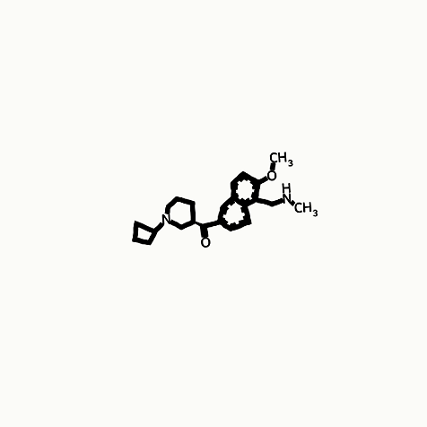 CNCc1c(OC)ccc2cc(C(=O)[C@@H]3CCCN(C4CCC4)C3)ccc12